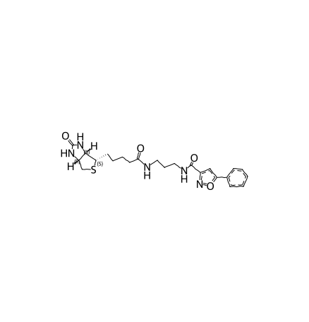 O=C(CCCC[C@@H]1SC[C@@H]2NC(=O)N[C@@H]21)NCCCNC(=O)c1cc(-c2ccccc2)on1